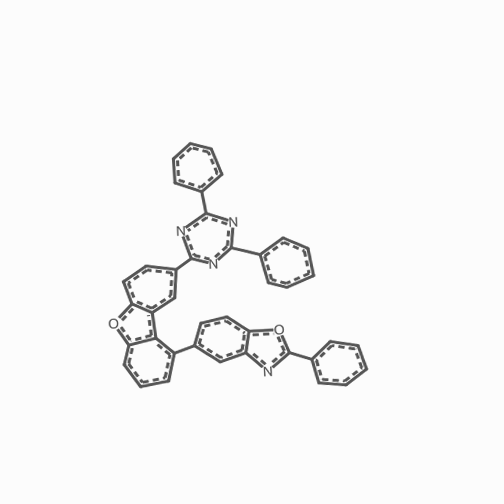 c1ccc(-c2nc(-c3ccccc3)nc(-c3ccc4oc5cccc(-c6ccc7oc(-c8ccccc8)nc7c6)c5c4c3)n2)cc1